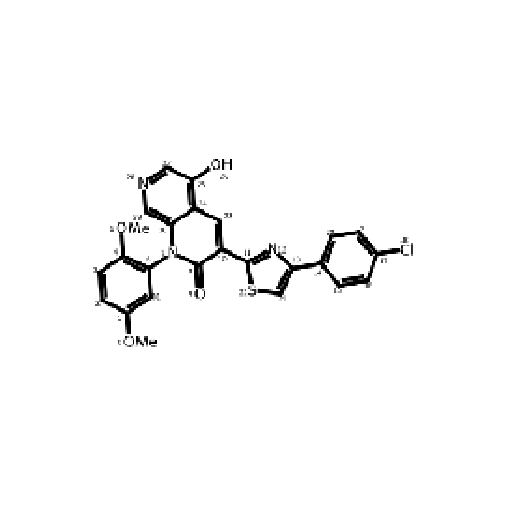 COc1ccc(OC)c(-n2c(=O)c(-c3nc(-c4ccc(Cl)cc4)cs3)cc3c(O)cncc32)c1